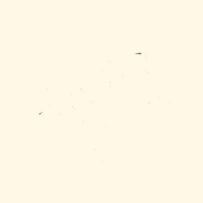 CC(=O)O[C@H](C)c1nc(Cn2nc(-c3ccc(Cl)cc3)n(C[C@H](O)C(F)(F)F)c2=O)nn1-c1ccc(Cl)cn1